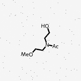 COCCN(CCO)C(C)=O